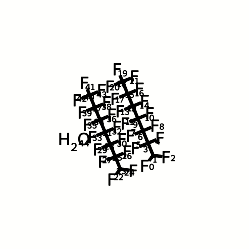 FC(F)C(F)(F)C(F)(F)C(F)(F)C(F)(F)C(F)(F)C(F)(F)F.FC(F)C(F)(F)C(F)(F)C(F)(F)C(F)(F)C(F)(F)C(F)(F)F.O